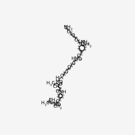 CC(C)C(NC(=O)CCOCCOCCOCCOCCNC(=O)OCC1C2CC/C(N)=C(/N(N)CCOCCOCCOCCN)CCC21)C(=O)CCC(=O)Nc1ccc(COC(=O)N(C)CCN(C)C)cc1